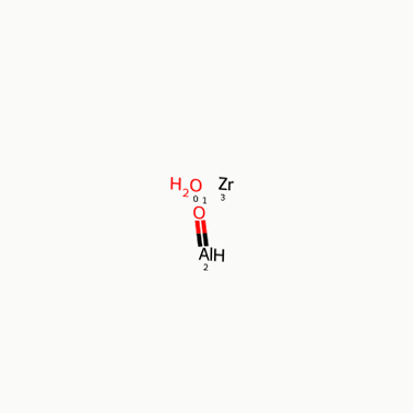 O.[O]=[AlH].[Zr]